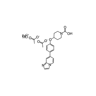 CC(=O)[O-].CC(=O)[O-].Cl.O=C(O)N1CCC(Oc2ccc(-c3ccn4ccnc4c3)cc2)CC1.[Pd+2]